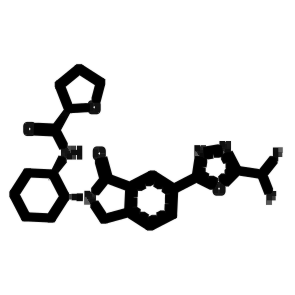 O=C(N[C@@H]1CCCC[C@H]1N1Cc2ccc(-c3nnc(C(F)F)o3)cc2C1=O)[C@H]1CCCO1